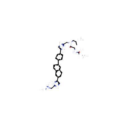 CCCN(C=O)Cc1ncc(-c2ccc3cc(-c4ccc(-c5cnc(CN(C[C@@H](C)C#N)C(=O)CNC(=O)OC)[nH]5)cc4)ccc3c2)[nH]1